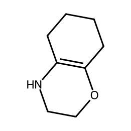 C1CCC2=C(C1)NCCO2